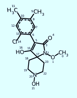 CON1C(=O)C(c2cc(C)c(C)cc2Cl)=C(O)C12CCN(O)CC2